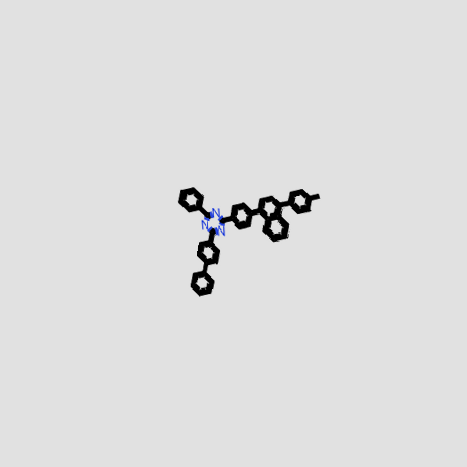 Cc1ccc(-c2ccc(-c3ccc(-c4nc(-c5ccccc5)nc(-c5ccc(-c6ccccc6)cc5)n4)cc3)c3ccccc23)cc1